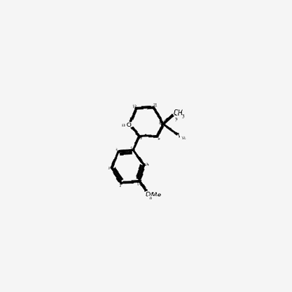 COc1cccc(C2CC(C)(I)CCO2)c1